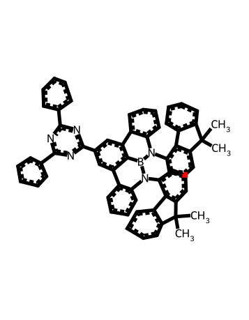 CC1(C)c2ccccc2-c2c(N3B4c5c(cc(-c6nc(-c7ccccc7)nc(-c7ccccc7)n6)cc5-c5ccccc5N4c4cccc5c4-c4ccccc4C5(C)C)-c4ccccc43)cccc21